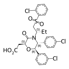 CC[C@@H](CS(=O)(=O)c1ccccc1Cl)N1C(=O)[C@H](CC(=O)O)O[C@H](c2cccc(Cl)c2)[C@H]1c1ccc(Cl)cc1